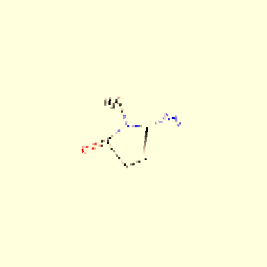 CN1C(=O)CC[C@H]1N